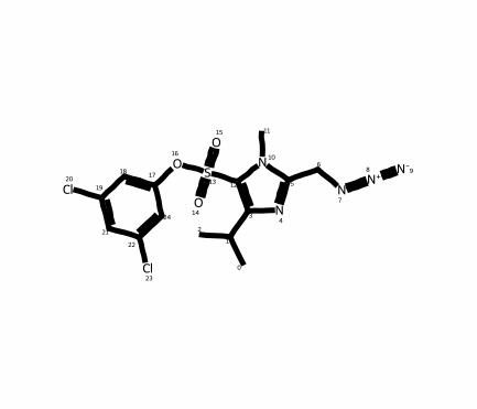 CC(C)c1nc(CN=[N+]=[N-])n(C)c1S(=O)(=O)Oc1cc(Cl)cc(Cl)c1